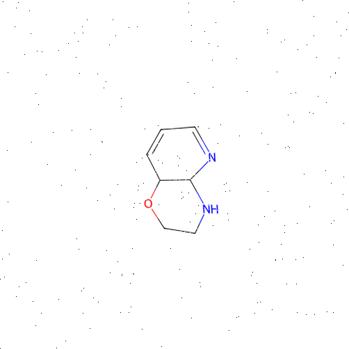 [C]1=NC2NCCOC2C=C1